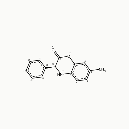 Cc1ccc2c(c1)OC(=O)[C@H](c1ccccc1)N2